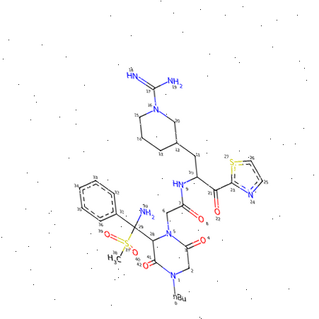 CCCCN1CC(=O)N(CC(=O)NC(CC2CCCN(C(=N)N)C2)C(=O)c2nccs2)C(C(N)(c2ccccc2)S(C)(=O)=O)C1=O